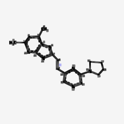 Cc1cc(C)n2nc(/C=C/c3cncc(N4CCCC4)n3)nc2n1